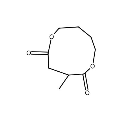 CC1CC(=O)OCCCCOC1=O